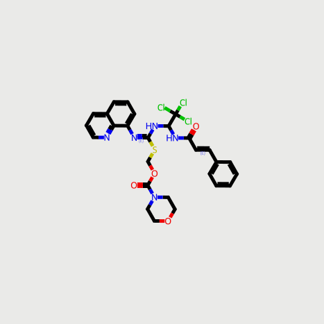 O=C(/C=C/c1ccccc1)NC(N/C(=N\c1cccc2cccnc12)SCOC(=O)N1CCOCC1)C(Cl)(Cl)Cl